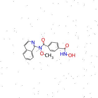 CON(C(=O)c1ccc(C(=O)NO)cc1)c1nccc2ccccc12